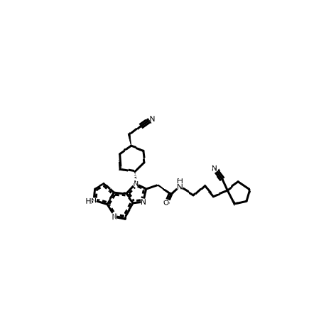 N#CC[C@H]1CC[C@H](n2c(CC(=O)NCCCC3(C#N)CCCC3)nc3cnc4[nH]ccc4c32)CC1